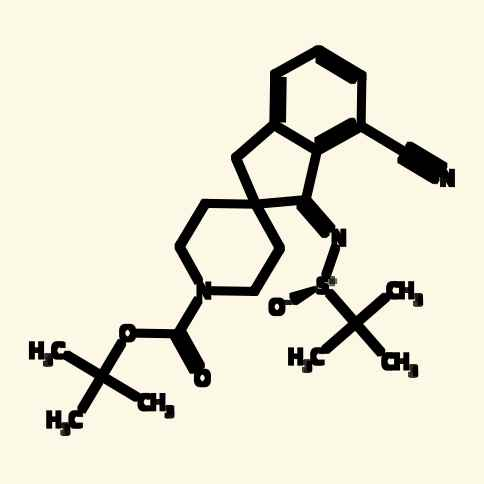 CC(C)(C)OC(=O)N1CCC2(CC1)Cc1cccc(C#N)c1/C2=N/[S@+]([O-])C(C)(C)C